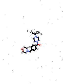 CCC(C)N1CCN(C(=O)c2ccc(CN3CCOCC3)cc2)CC1